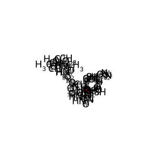 CC(C)[C@H](NC(=O)OC(C)(C)C)C(=O)N[C@@H](C)C(=O)Nc1ccc(COC(=O)N(C)Cc2ccccc2C(=O)Nc2nc3c(ncn3[C@@H]3O[C@@H]4CO[P@@](=O)(S)O[C@H]5C[C@H](Oc6ccncn6)C[C@@H]5CO[P@@](=O)(S)O[C@@H]3[C@@H]4O)c(=O)[nH]2)cc1